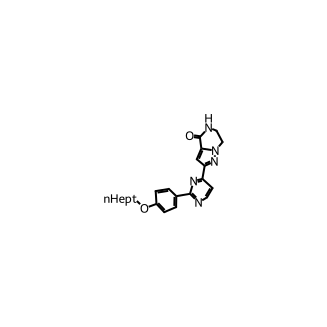 CCCCCCCOc1ccc(-c2nccc(-c3cc4n(n3)CCNC4=O)n2)cc1